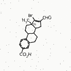 C[C@]12CCC3c4ccc(C(=O)O)cc4CCC3C1CC(C=O)=C2Br